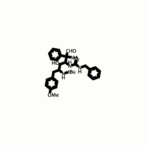 COc1ccc(CC(NC(C)(C)C)C(O)C(NC(=O)NCc2ccccc2)C(N)(C=O)c2ccccc2)cc1